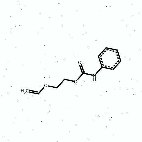 C=COCCOC(=O)Nc1ccccc1